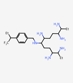 CCC(N)C(N)CCC(N)C(CCC(N)C(N)CC)NCc1ccc(C(CC)C(F)(F)F)cc1